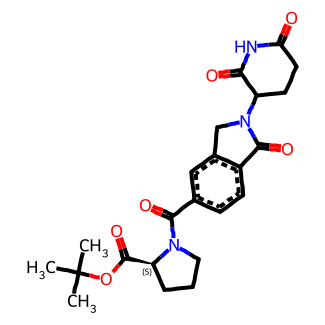 CC(C)(C)OC(=O)[C@@H]1CCCN1C(=O)c1ccc2c(c1)CN(C1CCC(=O)NC1=O)C2=O